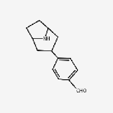 O=Cc1ccc(C2CC3CCC(C2)N3)cc1